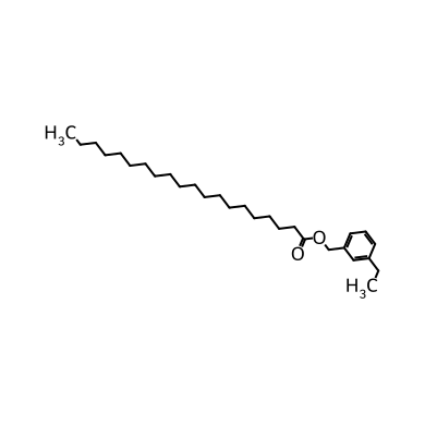 CCCCCCCCCCCCCCCCCCCC(=O)OCc1cccc(CC)c1